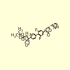 CC(C)(C)OC(=O)NC1(c2ccc(-c3c(F)cc(N4C[C@H](Cn5ccnn5)OC4=O)cc3F)cn2)C2COCC21